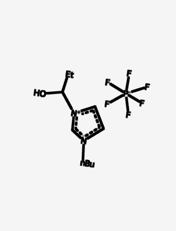 CCCCn1cc[n+](C(O)CC)c1.F[P-](F)(F)(F)(F)F